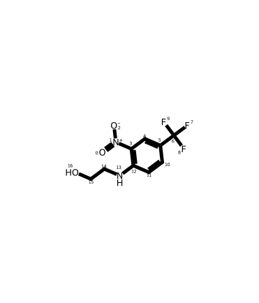 O=[N+]([O-])c1cc(C(F)(F)F)ccc1NCCO